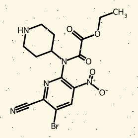 CCOC(=O)C(=O)N(c1nc(C#N)c(Br)cc1[N+](=O)[O-])C1CCNCC1